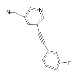 N#Cc1cncc(C#Cc2cccc(F)c2)c1